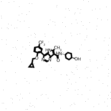 Cc1[nH]c2c(-c3cc(C(F)(F)F)ccc3OCC3CC3)ncnc2c1C(=O)N[C@H]1CC[C@H](O)CC1